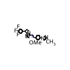 COc1cc(/C=C/c2nnc3n2CCC3c2cc(F)c(F)c(F)c2)ccc1-n1cnc(C)c1